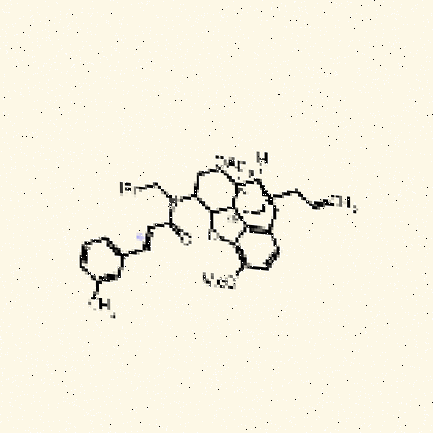 C=CCN1CC[C@]23c4c5ccc(OC)c4OC2C(N(CC(C)C)C(=O)/C=C/c2cccc(C)c2)CC[C@@]3(OC(C)=O)[C@H]1C5